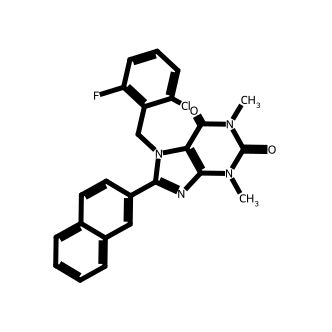 Cn1c(=O)c2c(nc(-c3ccc4ccccc4c3)n2Cc2c(F)cccc2Cl)n(C)c1=O